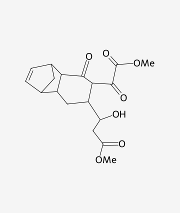 COC(=O)CC(O)C1CC2C3C=CC(C3)C2C(=O)C1C(=O)C(=O)OC